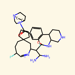 NC(N)C(C(=O)NC1CNCCC1c1ccc(C(=O)N2CCN3CCC2CC3)cc1F)C1CC2(CCCC2)CCC(F)/C=N\1